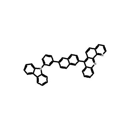 c1cc(-c2ccc3cc(-c4c5ccccc5nc5c4ccc4cccnc45)ccc3c2)cc(-n2c3ccccc3c3ccccc32)c1